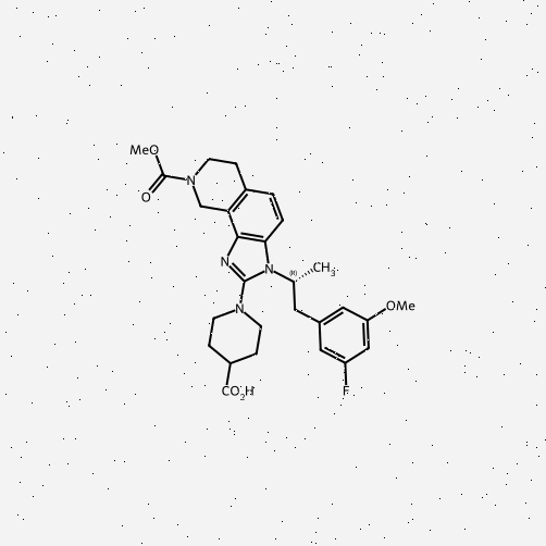 COC(=O)N1CCc2ccc3c(nc(N4CCC(C(=O)O)CC4)n3[C@H](C)Cc3cc(F)cc(OC)c3)c2C1